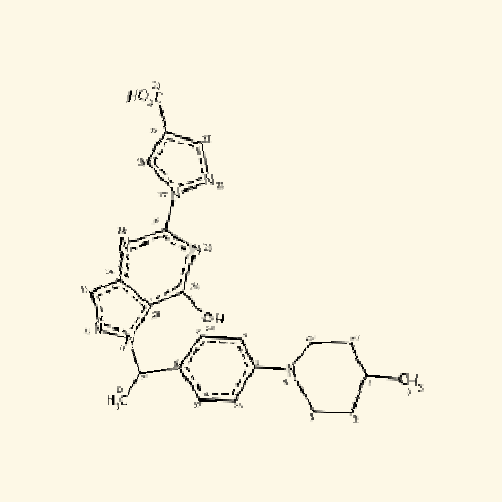 CC1CCN(c2ccc(C(C)n3ncc4nc(-n5cc(C(=O)O)cn5)nc(O)c43)cc2)CC1